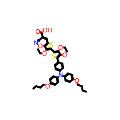 CCCCOc1ccc(N(c2ccc(OCCCC)cc2)c2ccc(-c3sc(-c4sc(/C=C(\C#N)C(=O)O)c5c4OCCO5)c4c3OCCO4)cc2)cc1